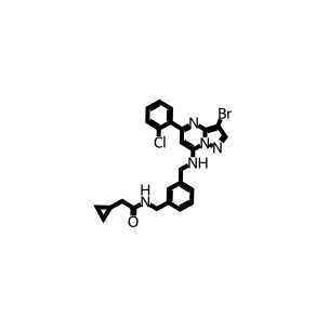 O=C(CC1CC1)NCc1cccc(CNc2cc(-c3ccccc3Cl)nc3c(Br)cnn23)c1